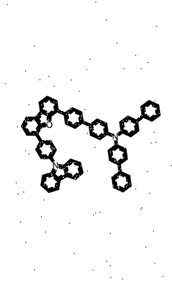 c1ccc(-c2ccc(N(c3ccc(-c4ccccc4)cc3)c3ccc(-c4ccc(-c5cccc6c5oc5c(-c7ccc(-n8c9ccccc9c9ccccc98)cc7)cccc56)cc4)cc3)cc2)cc1